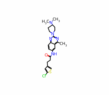 Cc1nc(N2CCC(N(C)C)CC2)nc2ccc(NC(=O)CCc3csc(Cl)c3)cc12